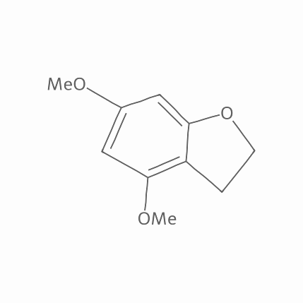 COc1cc(OC)c2c(c1)OCC2